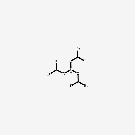 CCC(F)O[SiH](OC(F)CC)OC(F)CC